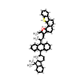 C=C(/C=C\C1=CC(C)(C)c2ccccc21)c1c2ccccc2c(C(=C)/C=c2\c(=C)oc3c2ccc2ccc4c5ccccc5sc4c23)c2ccccc12